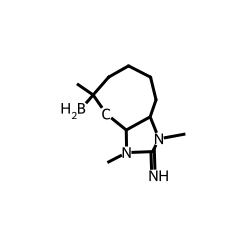 BC1(C)CCCCC2C(C1)N(C)C(=N)N2C